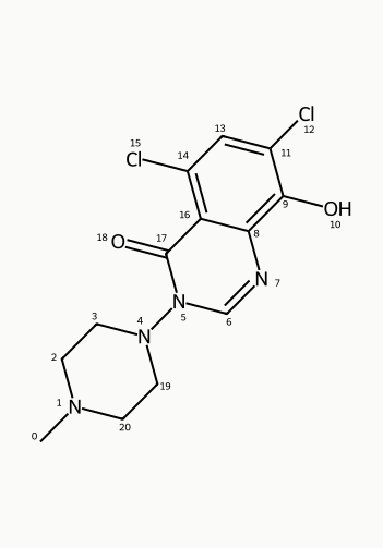 CN1CCN(n2cnc3c(O)c(Cl)cc(Cl)c3c2=O)CC1